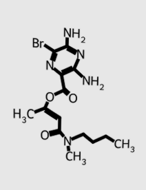 CCCCN(C)C(=O)C=C(C)OC(=O)c1nc(Br)c(N)nc1N